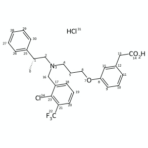 C[C@@H](CN(CCCOc1cccc(CC(=O)O)c1)Cc1cccc(C(F)(F)F)c1Cl)c1ccccc1.Cl